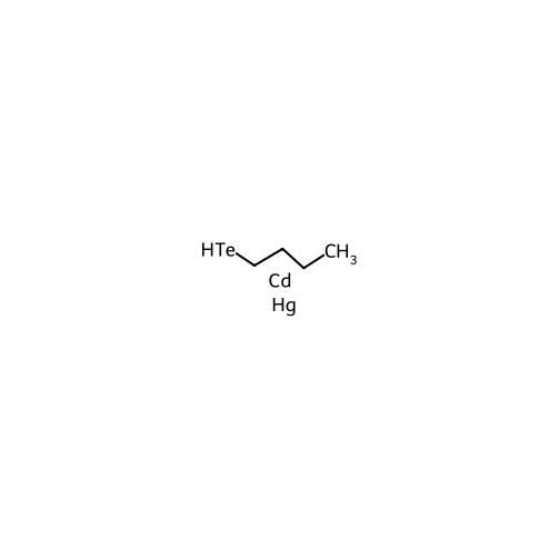 CCCC[TeH].[Cd].[Hg]